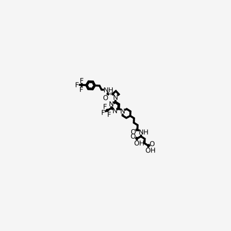 O=C(O)CCC(NC(=O)CCCC1CCN(c2cc(N3CC[C@H]3C(=O)NCCc3ccc(C(F)(F)F)cc3)nc(C(F)(F)F)n2)CC1)C(=O)O